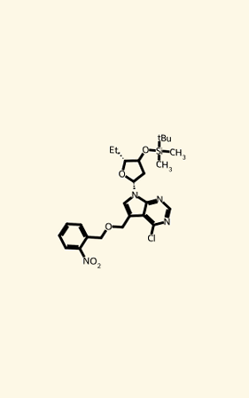 CC[C@H]1O[C@@H](n2cc(COCc3ccccc3[N+](=O)[O-])c3c(Cl)ncnc32)CC1O[Si](C)(C)C(C)(C)C